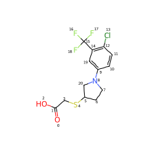 O=C(O)CSC1CCN(c2ccc(Cl)c(C(F)(F)F)c2)C1